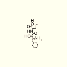 N[C@H](CC1CCCCC1)[C@@H](O)C(=O)NC(CF)C(=O)O